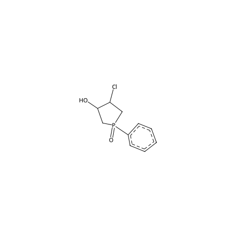 O=P1(c2ccccc2)CC(O)C(Cl)C1